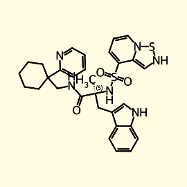 C[C@@](Cc1c[nH]c2ccccc12)(NS(=O)(=O)C1=CC=CN2SNC=C12)C(=O)NCC1(c2ccccn2)CCCCC1